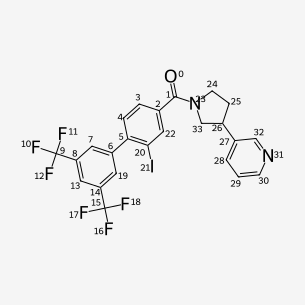 O=C(c1ccc(-c2cc(C(F)(F)F)cc(C(F)(F)F)c2)c(I)c1)N1CCC(c2cccnc2)C1